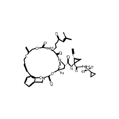 C=C[C@@H]1C[C@]1(NC(=O)[C@@H]1C[C@@H]2CN1C(=O)[C@H](CCC(=O)C=C(C)C)NC(=O)OCC(=C)CC/C=C/c1cccc3c1CN(C3)C(=O)O2)C(=O)NS(=O)(=O)C1CC1